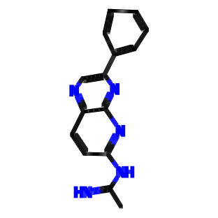 CC(=N)Nc1ccc2ncc(-c3ccccc3)nc2n1